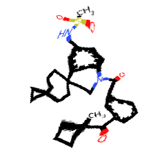 CC1(C(=O)c2cccc(C(=O)N3CC4(CCC5(CC5)CC4)c4cc(NS(C)(=O)=O)ccc43)c2)CCC1